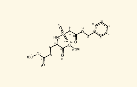 CC(C)(C)OC(=O)CCC(NS(=O)(=O)NC(=O)OCc1ccccc1)C(=O)OC(C)(C)C